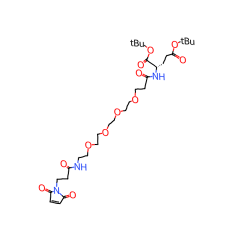 CC(C)(C)OC(=O)CC[C@H](NC(=O)CCOCCOCCOCCOCCNC(=O)CCN1C(=O)C=CC1=O)C(=O)OC(C)(C)C